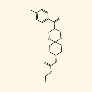 C=C(c1ccc(C)cc1)C1COC2(CCC(=CC(=O)OCC)CC2)OO1